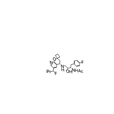 CC(=O)N[C@@H](Cc1ccc(F)cc1)[C@@H](O)CN[C@H]1CC2(CCC2)Oc2ncc([C@@H](F)C(C)C)cc21